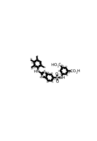 Cc1cc(C)c(Nc2nc3ccc(S(=O)(=O)Nc4cc(C(=O)O)cc(C(=O)O)c4)cc3s2)c(C)c1C